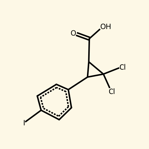 O=C(O)C1C(c2ccc(I)cc2)C1(Cl)Cl